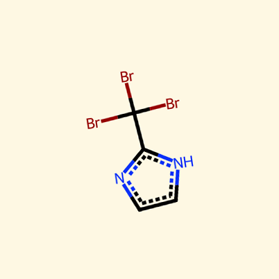 BrC(Br)(Br)c1ncc[nH]1